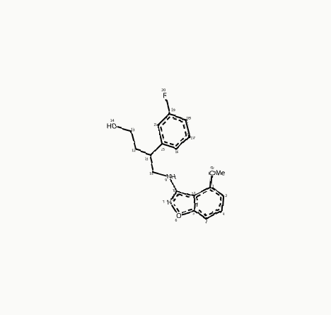 COc1cccc2onc(NCC(CCO)c3cccc(F)c3)c12